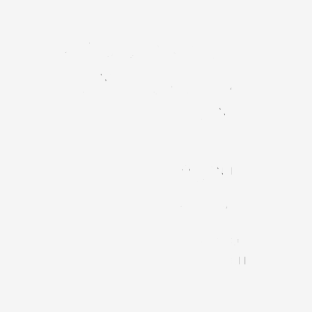 COc1cccc(C(=O)NC2CCN(Cc3ccc4ccc(CN5CCCCC5)cc4c3)CC2)c1